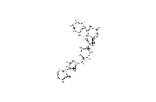 c1ccc(-n2ncc(CN3CCN(c4nc5nccc(-c6ccncc6)n5n4)CC3)n2)cc1